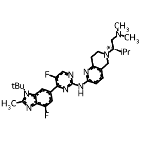 Cc1nc2c(F)cc(-c3nc(Nc4ccc5c(n4)CCN([C@@H](CN(C)C)C(C)C)C5)ncc3F)cc2n1C(C)(C)C